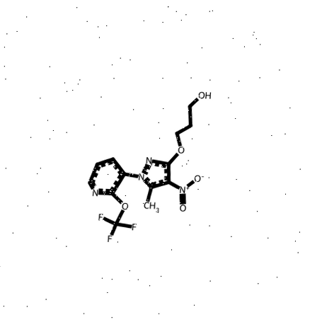 Cc1c([N+](=O)[O-])c(OCCCO)nn1-c1cccnc1OC(F)(F)F